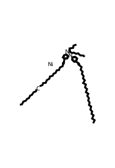 CCCCCCCCCCCCCCCCCCCCCCCCCCC#Cc1ccc(N=C(CCCC)C(CCCCCC)=Nc2ccc(C#CCCCCCCCCCCCCCCCCCCCCCCCCCC)cc2)cc1.[Ni]